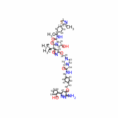 Cc1ncsc1-c1ccc([C@H](C)NC(=O)[C@@H]2C[C@@H](O)CN2C(=O)[C@@H](c2cc(OCCN3CCN(CC(=O)NCc4ccc(CCOc5cc(-c6ccccc6O)nnc5N)cc4)CC3)no2)C(C)C)cc1